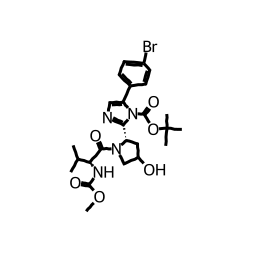 COC(=O)N[C@H](C(=O)N1CC(O)C[C@H]1c1ncc(-c2ccc(Br)cc2)n1C(=O)OC(C)(C)C)C(C)C